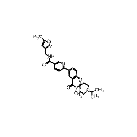 Cc1cc(CNC(=O)c2ccc(-c3ccc4c(c3)C(=O)N(C)C3(CCN(C(C)C)CC3)O4)nc2)no1